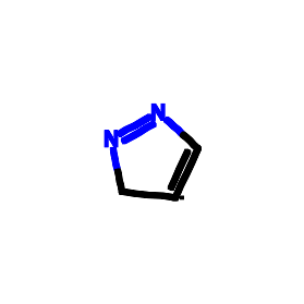 [C]1=CN=NC1